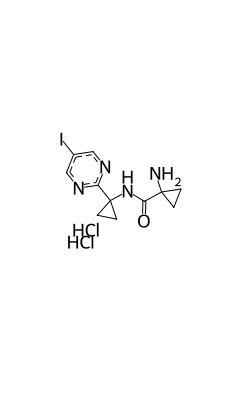 Cl.Cl.NC1(C(=O)NC2(c3ncc(I)cn3)CC2)CC1